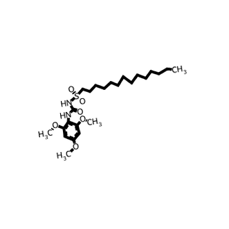 CCCCCCCCCCCCCCS(=O)(=O)NC(=O)Nc1c(OC)cc(OC)cc1OC